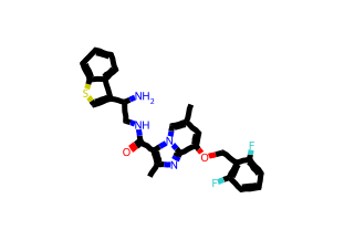 Cc1cc(OCc2c(F)cccc2F)c2nc(C)c(C(=O)NCC(N)c3csc4ccccc34)n2c1